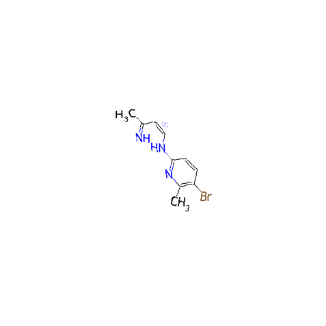 CC(=N)/C=C\Nc1ccc(Br)c(C)n1